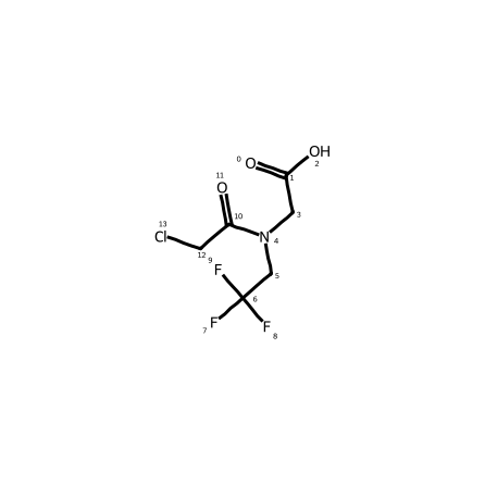 O=C(O)CN(CC(F)(F)F)C(=O)CCl